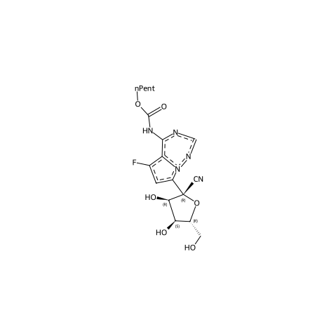 CCCCCOC(=O)Nc1ncnn2c([C@]3(C#N)O[C@H](CO)[C@@H](O)[C@H]3O)cc(F)c12